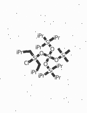 CC(C)C[Si](Cl)(CC(C)C)O[Si](O[Si](C)(C)C)(O[Si](C(C)C)(C(C)C)C(C)C)O[Si](C(C)C)(C(C)C)C(C)C